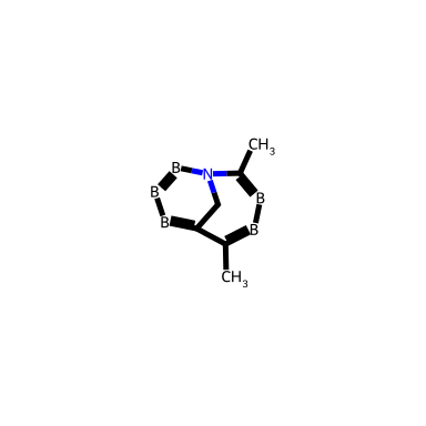 CC1=BB=C(C)N2B=BB=C1C2